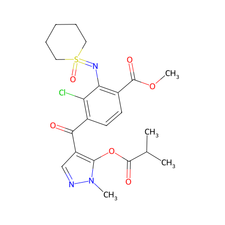 COC(=O)c1ccc(C(=O)c2cnn(C)c2OC(=O)C(C)C)c(Cl)c1N=S1(=O)CCCCC1